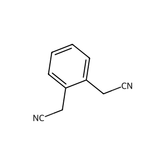 N#CCc1ccccc1CC#N